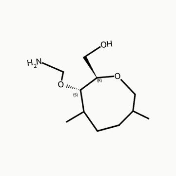 CC1CCC(C)[C@H](OCN)[C@@H](CO)OC1